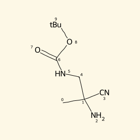 CC(N)(C#N)CNC(=O)OC(C)(C)C